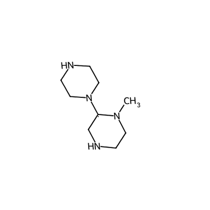 CN1CCNC[C]1N1CCNCC1